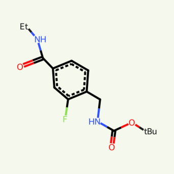 CCNC(=O)c1ccc(CNC(=O)OC(C)(C)C)c(F)c1